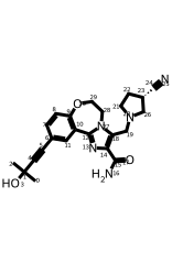 CC(C)(O)C#Cc1ccc2c(c1)-c1nc(C(N)=O)c(CN3CC[C@H](C#N)C3)n1CCO2